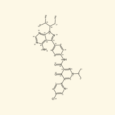 CC(C)n1cc(-c2ccc(Cl)cn2)c(=O)c(C(=O)Nc2ccc(-c3nn(C(CF)C(F)F)c4ncnc(N)c34)cc2)n1